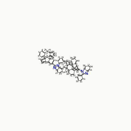 CC1(C)c2ccccc2C2(c3ccccc3-c3cc(-c4nc5cccc(CC6(C)c7ccccc7C7(c8ccccc8-c8cc(-n9c(-c%10ccccc%10)nc%10ccccc%109)ccc87)c7ccccc76)c5n4-c4ccccc4)ccc32)c2ccccc21